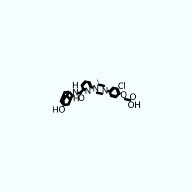 C[C@@H]1CN(c2ccc(OCC(=O)O)c(Cl)c2)CCN1c1cccc(C(=O)N[C@H]2C3CC4CC2C[C@](O)(C4)C3)n1